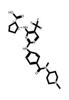 CN1CCC(N(C)C(=O)c2ccc(Nc3ncc(C(F)(F)F)c(N[C@@H]4CCC[C@@H]4C(=O)O)n3)cc2)CC1